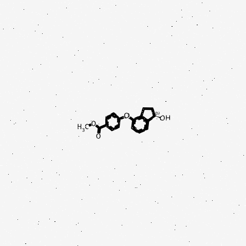 COC(=O)c1ccc(Oc2cccc3c2CC[C@@H]3O)cc1